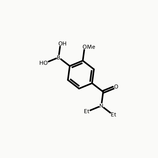 CCN(CC)C(=O)c1ccc(B(O)O)c(OC)c1